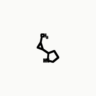 CC1CC1C1CCCN1